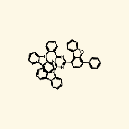 c1ccc(-c2ccc(-c3nc(-c4ccccc4-n4c5ccccc5c5ccccc54)nc(-n4c5ccccc5c5ccccc54)n3)c3c2oc2ccccc23)cc1